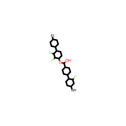 CCCC1CCC(C2CCC(C(O)OC3CCC(C4CCC(CC)CC4)C(F)C3F)CC2)C(F)C1